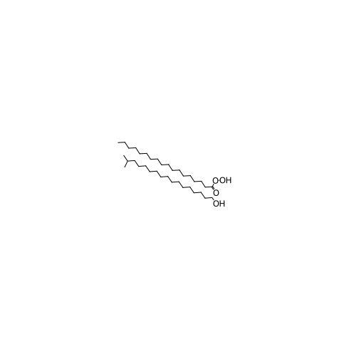 CC(C)CCCCCCCCCCCCCCCO.CCCCCCCCCCCCCCCCCC(=O)OO